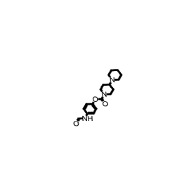 O=CNc1ccc(OC(=O)N2CCC(N3CCCCC3)CC2)cc1